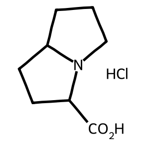 Cl.O=C(O)C1CCC2CCCN21